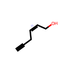 C#CC/C=C\CO